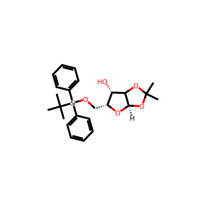 CC1(C)OC2[C@H](O[C@H](CO[Si](c3ccccc3)(c3ccccc3)C(C)(C)C)[C@@H]2O)O1